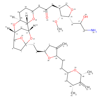 C=C1C[C@H](CC[C@]23CCC(O2)[C@H]2C[C@@H](O3)[C@H]3OC(CC(=O)C[C@H]4CO[C@H](CC(O)CN)[C@@H]4OC)CC[C@@H]3O2)OC1CCC1C[C@@H](C)C(=C)[C@@H](C)O1